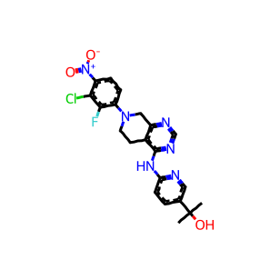 CC(C)(O)c1ccc(Nc2ncnc3c2CCN(c2ccc([N+](=O)[O-])c(Cl)c2F)C3)nc1